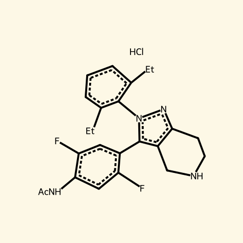 CCc1cccc(CC)c1-n1nc2c(c1-c1cc(F)c(NC(C)=O)cc1F)CNCC2.Cl